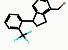 FC(F)(F)c1ccccc1C1CCc2c(CBr)cccc21